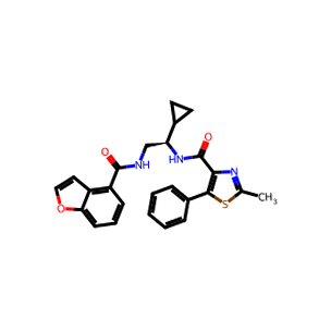 Cc1nc(C(=O)N[C@@H](CNC(=O)c2cccc3occc23)C2CC2)c(-c2ccccc2)s1